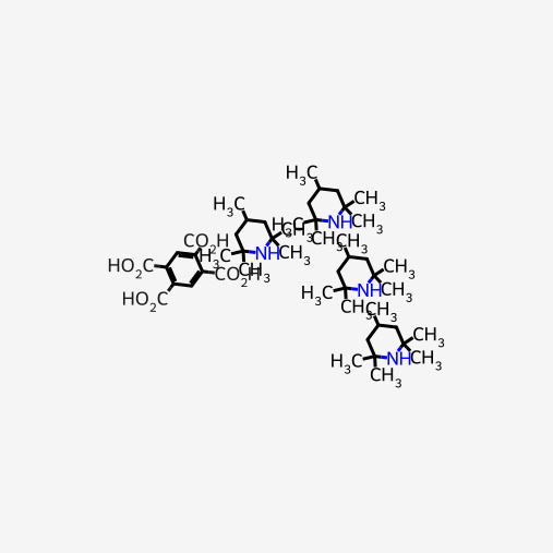 CC1CC(C)(C)NC(C)(C)C1.CC1CC(C)(C)NC(C)(C)C1.CC1CC(C)(C)NC(C)(C)C1.CC1CC(C)(C)NC(C)(C)C1.O=C(O)c1cc(C(=O)O)c(C(=O)O)cc1C(=O)O